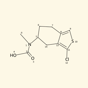 CN(C(=O)O)C1CCc2csc(Cl)c2C1